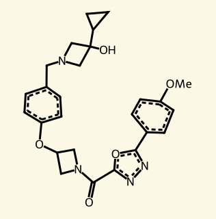 COc1ccc(-c2nnc(C(=O)N3CC(Oc4ccc(CN5CC(O)(C6CC6)C5)cc4)C3)o2)cc1